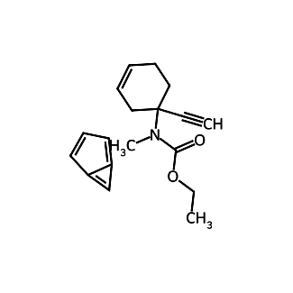 C#CC1(N(C)C(=O)OCC)CC=CCC1.c1cc2cc-2c1